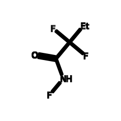 CCC(F)(F)C(=O)NF